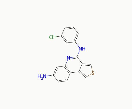 Nc1ccc2c(c1)nc(Nc1cccc(Cl)c1)c1cscc12